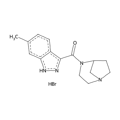 Br.Cc1ccc2c(C(=O)N3CCN4CCC3C4)n[nH]c2c1